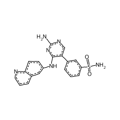 Nc1ncc(-c2cccc(S(N)(=O)=O)c2)c(Nc2ccc3ncccc3c2)n1